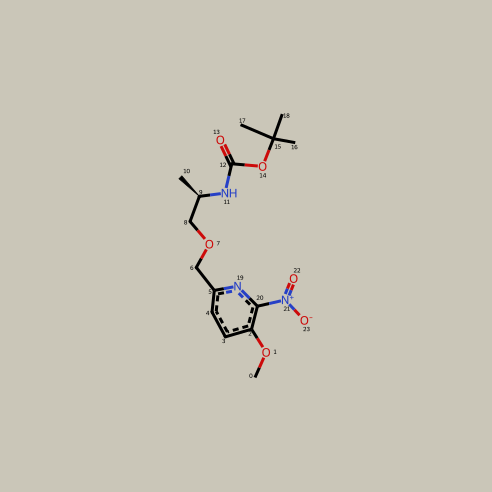 COc1ccc(COC[C@@H](C)NC(=O)OC(C)(C)C)nc1[N+](=O)[O-]